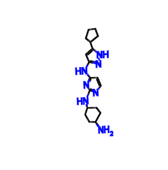 N[C@H]1CC[C@@H](Nc2nccc(Nc3cc(C4CCCC4)[nH]n3)n2)CC1